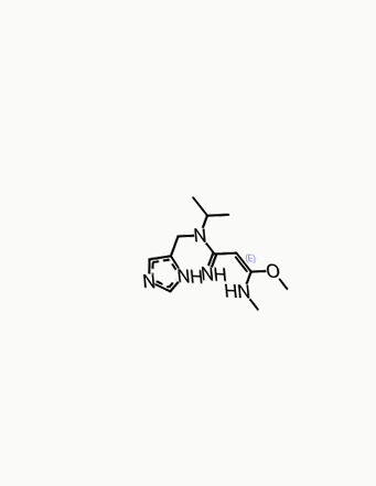 CN/C(=C\C(=N)N(Cc1cnc[nH]1)C(C)C)OC